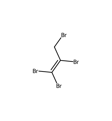 BrCC(Br)=C(Br)Br